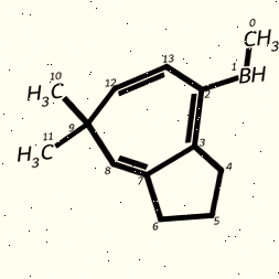 CBC1=C2CCCC2=CC(C)(C)C=C1